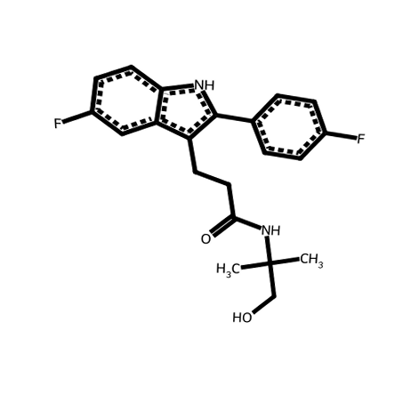 CC(C)(CO)NC(=O)CCc1c(-c2ccc(F)cc2)[nH]c2ccc(F)cc12